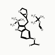 CC(C)(C)OC=O.C[Si](C)(C)c1[nH]c2ccc(OC(F)F)cc2c1CC1C2OCCN12